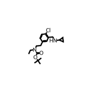 CCN(CCc1ccc(Cl)c(CNC2CC2)c1)C(=O)OC(C)(C)C